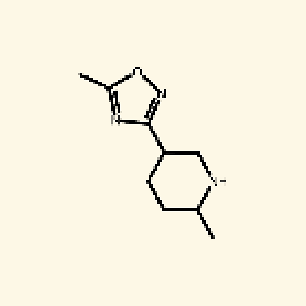 Cc1nc(C2CCC(C)NC2)no1